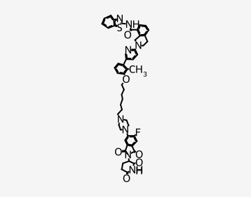 Cc1c(OCCCCCCCN2CCN(c3cc4c(cc3F)C(=O)N(C3CCC(=O)NC3O)C4=O)CC2)cccc1-c1ccc(N2CCc3cccc(C(=O)Nc4nc5ccccc5s4)c3C2)nc1